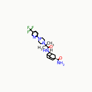 CC(C)(C(=O)N[C@H]1C2CC3CC1C[C@@](C(N)=O)(C3)C2)N1CCN(c2ccc(C(F)(F)F)cn2)CC1